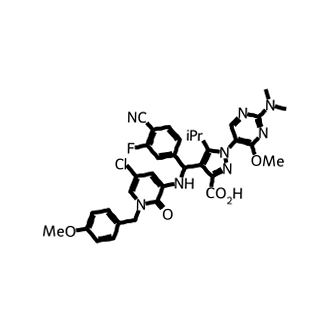 COc1ccc(Cn2cc(Cl)cc(NC(c3ccc(C#N)c(F)c3)c3c(C(=O)O)nn(-c4cnc(N(C)C)nc4OC)c3C(C)C)c2=O)cc1